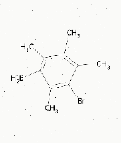 Bc1c(C)c(C)c(C)c(Br)c1C